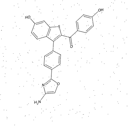 Nc1coc(-c2ccc(-c3c(C(=O)c4ccc(O)cc4)sc4cc(O)ccc34)cc2)n1